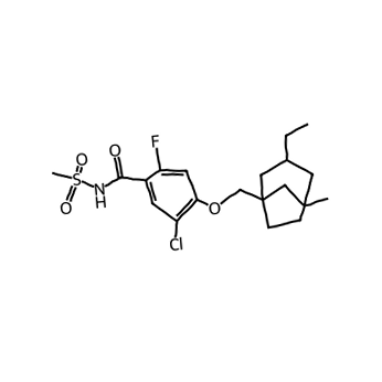 CCC1CC2(C)CCC(COc3cc(F)c(C(=O)NS(C)(=O)=O)cc3Cl)(C1)C2